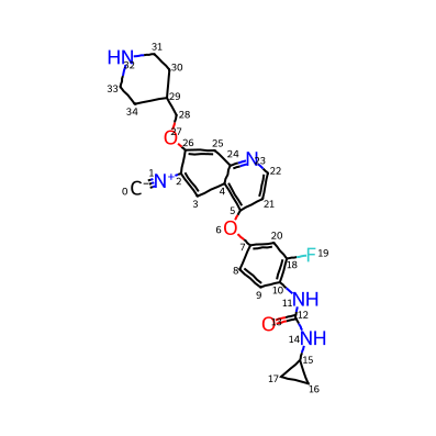 [C-]#[N+]c1cc2c(Oc3ccc(NC(=O)NC4CC4)c(F)c3)ccnc2cc1OCC1CCNCC1